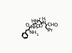 CC(C)C[C@@H](C=O)NC(=O)[C@H](C)NC(=O)CNC(=O)[C@@H](N)Cc1ccccc1